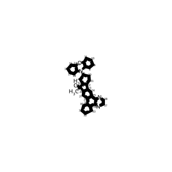 CC1(C)c2cc(N3c4ccccc4Oc4ccccc43)ccc2-c2cc3c(cc21)c1ccccc1c1nccnc31